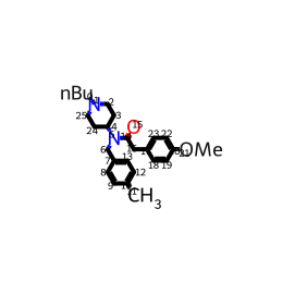 CCCCN1CCC(N(Cc2ccc(C)cc2)C(=O)Cc2ccc(OC)cc2)CC1